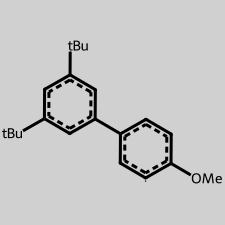 COc1[c]cc(-c2cc(C(C)(C)C)cc(C(C)(C)C)c2)cc1